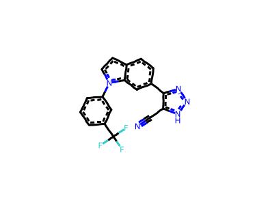 N#Cc1[nH]nnc1-c1ccc2ccn(-c3cccc(C(F)(F)F)c3)c2c1